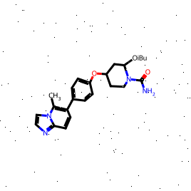 Cc1c(-c2ccc(OC3CCN(C(N)=O)C(OCC(C)C)C3)cc2)ccc2nccn12